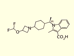 Cc1c(C(=O)O)c2ccccc2n1[C@H](C)C1CCC(N2CC(OC(F)F)C2)CC1